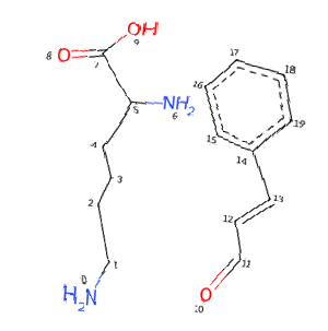 NCCCCC(N)C(=O)O.O=CC=Cc1ccccc1